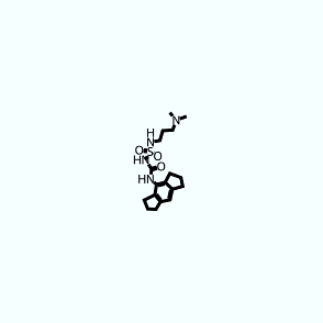 CN(C)CCCNS(=O)(=O)NC(=O)Nc1c2c(cc3c1CCC3)CCC2